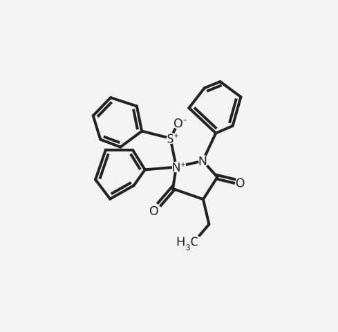 CCC1C(=O)N(c2ccccc2)[N+](c2ccccc2)([S+]([O-])c2ccccc2)C1=O